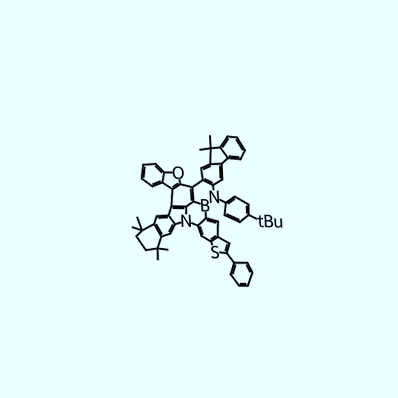 CC(C)(C)c1ccc(N2B3c4cc5cc(-c6ccccc6)sc5cc4-n4c5cc6c(cc5c5c7c(oc8ccccc87)c(c3c54)-c3cc4c(cc32)-c2ccccc2C4(C)C)C(C)(C)CCC6(C)C)cc1